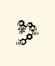 C[C@H]1CC(c2ccc(Nc3ncc4ccn(Cc5cccnc5N(C)S(C)(=O)=O)c4n3)cc2)CCN1